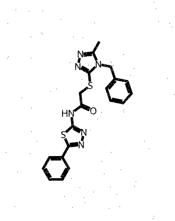 Cc1nnc(SCC(=O)Nc2nnc(-c3ccccc3)s2)n1Cc1ccccc1